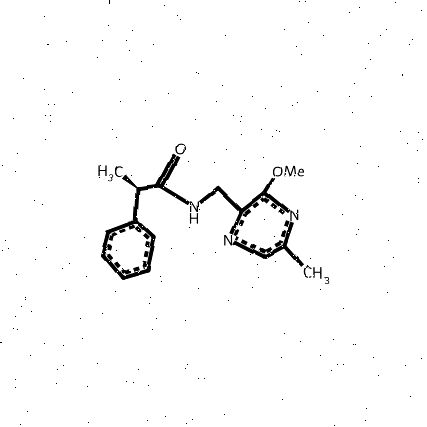 COc1nc(C)cnc1CNC(=O)[C@H](C)c1ccccc1